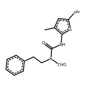 CCCc1cc(C)c(NC(=O)N(C=O)CCc2ccccc2)s1